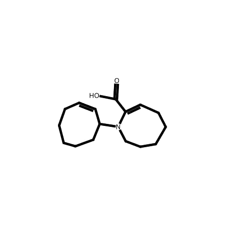 O=C(O)C1=CCCCCCN1C1C=CCCCCC1